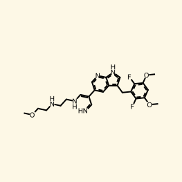 COCCNCCN/C=C(\C=N)c1cnc2[nH]cc(Cc3c(F)c(OC)cc(OC)c3F)c2c1